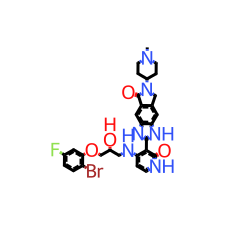 CN1CCC(N2Cc3cc4[nH]c(-c5c(NCC(O)COc6cc(F)ccc6Br)cc[nH]c5=O)nc4cc3C2=O)CC1